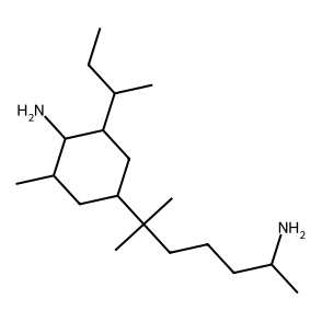 CCC(C)C1CC(C(C)(C)CCCC(C)N)CC(C)C1N